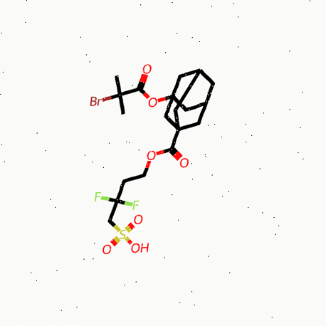 CC(C)(Br)C(=O)OC12CC3CC(C1)CC(C(=O)OCCC(F)(F)CS(=O)(=O)O)(C3)C2